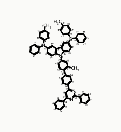 Cc1ccc(N(c2ccccc2)c2ccc3c(c2)c2cc(N(c4ccccc4)c4ccc(C)cc4)ccc2n3-c2ccc(-c3ccc(-c4cc(-c5ccccc5)nc(-c5ccccc5)n4)cc3)c(C)c2)cc1